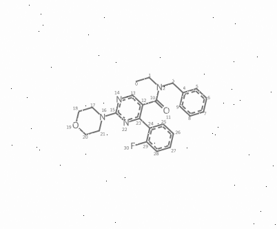 CCN(Cc1ccccc1)C(=O)c1cnc(N2CCOCC2)nc1-c1ccccc1F